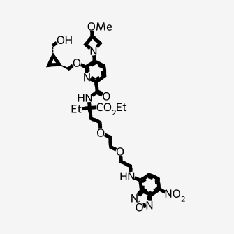 CCOC(=O)C(CC)(CCOCCOCCNc1ccc([N+](=O)[O-])c2nonc12)NC(=O)c1ccc(N2CC(OC)C2)c(OC[C@H]2C[C@@H]2CO)n1